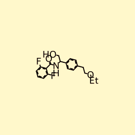 CCOCCc1ccc(C(CO)NC(=O)c2c(F)cccc2F)cc1